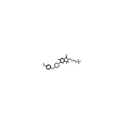 COc1ccc(OC2CCN(c3nc4c(cc3C)C(=O)N(COCC[Si](C)(C)C)C4(C)C)CC2)cn1